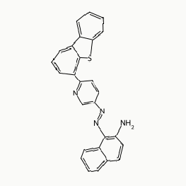 Nc1ccc2ccccc2c1/N=N/c1ccc(-c2cccc3c2sc2ccccc23)nc1